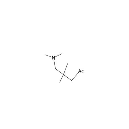 CC(=O)CC(C)(C)CN(C)C